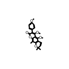 COc1ccc(-c2c(OC)c3c(OC)c4c(c(C)c3oc2=O)OC(C)(C)C=C4)cc1